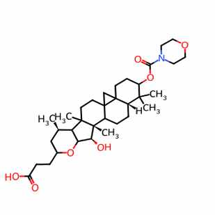 C[C@@H]1CC(CCC(=O)O)OC2C1C1(C)CCC34CC35CCC(OC(=O)N3CCOCC3)C(C)(C)[C@@H]5CCC4[C@]1(C)[C@H]2O